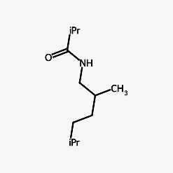 CC(C)CCC(C)CNC(=O)C(C)C